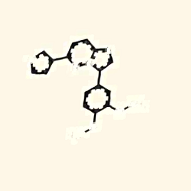 COc1ccc(-c2cnc3ccc(-c4ccoc4)nn23)cc1OC